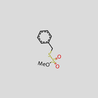 COS(=O)(=O)SCc1ccccc1